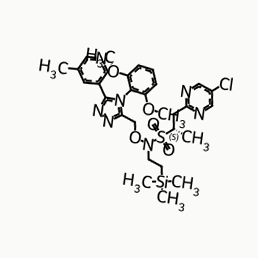 COc1cccc(OC)c1-n1c(CON(CC[Si](C)(C)C)S(=O)(=O)[C@@H](C)Cc2ncc(Cl)cn2)nnc1-c1cncc(C)c1